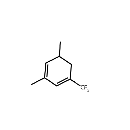 CC1=CC(C)CC(C(F)(F)F)=C1